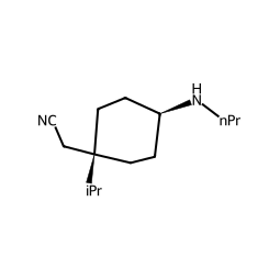 CCCN[C@H]1CC[C@@](CC#N)(C(C)C)CC1